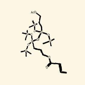 CC=CC(=O)OCCC[Si](O[Si](C)(C)C)(O[Si](C)(C)C)O[Si](CCCOC(C)=O)(O[Si](C)(C)C)O[Si](C)(C)C